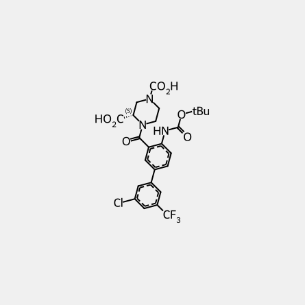 CC(C)(C)OC(=O)Nc1ccc(-c2cc(Cl)cc(C(F)(F)F)c2)cc1C(=O)N1CCN(C(=O)O)C[C@H]1C(=O)O